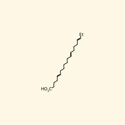 CC/C=C/CCC/C=C/CCCCC/C=C/CCCC(=O)O